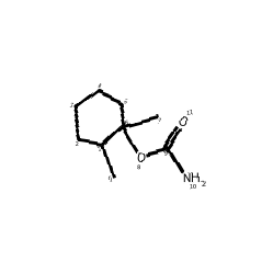 CC1CCCCC1(C)OC(N)=O